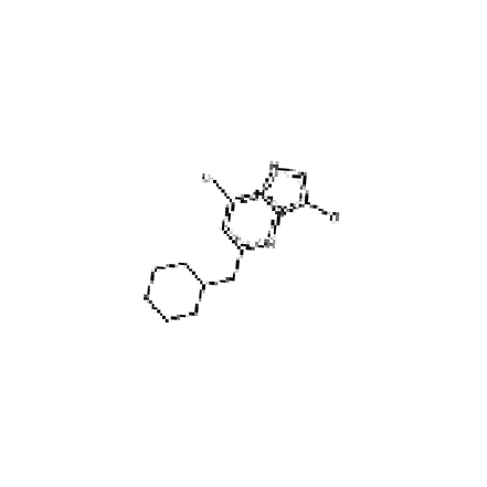 Clc1cnn2c(Cl)cc(CC3CCCCC3)nc12